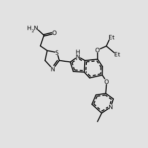 CCC(CC)Oc1cc(Oc2ccc(C)nc2)cc2cc(C3=NCC(CC(N)=O)S3)[nH]c12